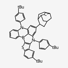 CC(C)(C)c1ccc(N2c3ccccc3B3c4sc5ccc(C(C)(C)C)cc5c4N(c4ccc(C(C)(C)C)cc4)c4cc(C5CC6CC7CCC5C(C7)C6)cc2c43)cc1